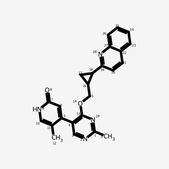 Cc1ncc(-c2cc(=O)[nH]cc2C)c(OCC2CC2c2ccc3ccccc3n2)n1